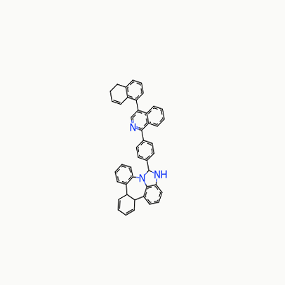 C1=CC2c3ccccc3N3c4c(cccc4C2C=C1)NC3c1ccc(-c2ncc(-c3cccc4c3C=CCC4)c3ccccc23)cc1